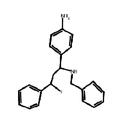 Nc1ccc(C(CC(I)c2ccccc2)NCc2ccccc2)cc1